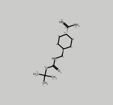 CC(C)(C)OC(=O)NC[C@H]1CC[C@H](C(=N)N)CC1